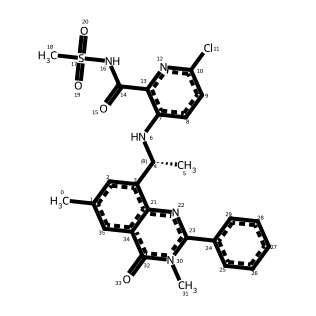 Cc1cc([C@@H](C)Nc2ccc(Cl)nc2C(=O)NS(C)(=O)=O)c2nc(-c3ccccc3)n(C)c(=O)c2c1